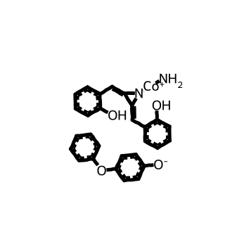 [NH2][Co+][N]1C(=Cc2ccccc2O)C1=Cc1ccccc1O.[O-]c1ccc(Oc2ccccc2)cc1